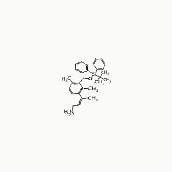 C/C(=C/CN)c1ccc(C)c(CO[Si](c2ccccc2)(c2ccccc2)C(C)(C)C)c1C